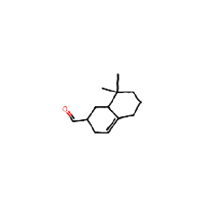 CC1(C)CCCC2=CCC(C=O)CC21